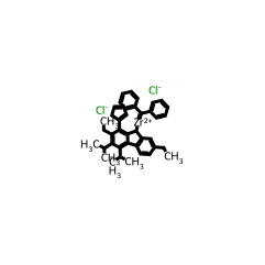 CCc1ccc2c(c1)[CH]([Zr+2]=[C](c1ccccc1)c1ccccc1)c1c(C3=CC=CC3)c(CC)c(C(C)C)c(C(C)C)c1-2.[Cl-].[Cl-]